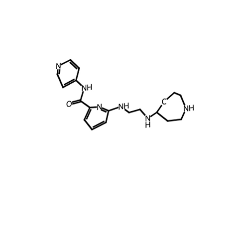 O=C(Nc1ccncc1)c1cccc(NCCNC2CCCNCC2)n1